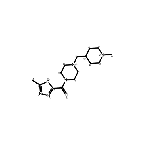 Cc1nnc(C(=O)N2CCN(CC3CCN(C)CC3)CC2)o1